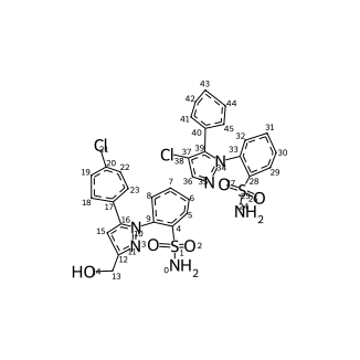 NS(=O)(=O)c1ccccc1-n1nc(CO)cc1-c1ccc(Cl)cc1.NS(=O)(=O)c1ccccc1-n1ncc(Cl)c1-c1ccccc1